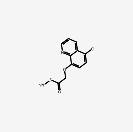 CCCSC(=O)COc1ccc(Cl)c2cccnc12